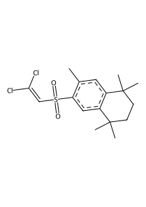 Cc1cc2c(cc1S(=O)(=O)C=C(Cl)Cl)C(C)(C)CCC2(C)C